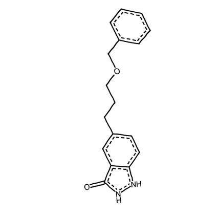 O=c1[nH][nH]c2ccc(CCCOCc3ccccc3)cc12